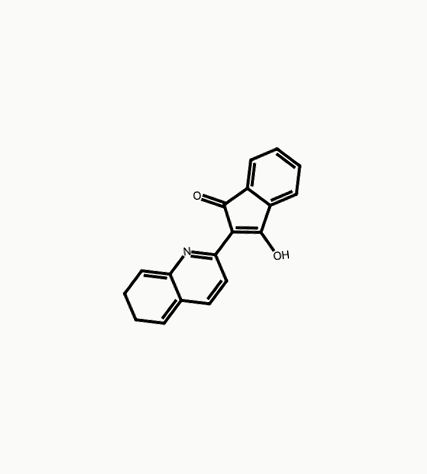 O=C1C(c2ccc3c(n2)=CCCC=3)=C(O)c2ccccc21